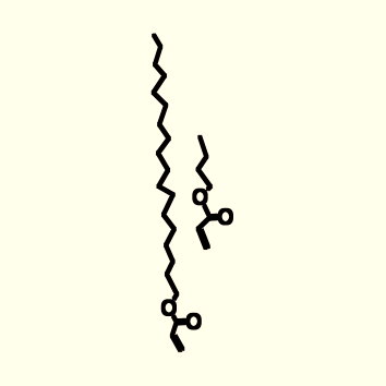 C=CC(=O)OCCCC.C=CC(=O)OCCCCCCCCCCCCCCCCCC